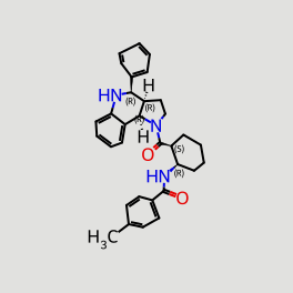 Cc1ccc(C(=O)N[C@@H]2CCCC[C@@H]2C(=O)N2CC[C@@H]3[C@H](c4ccccc4)Nc4ccccc4[C@@H]32)cc1